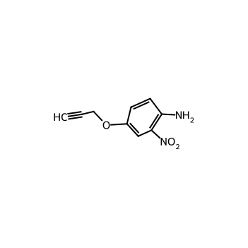 C#CCOc1ccc(N)c([N+](=O)[O-])c1